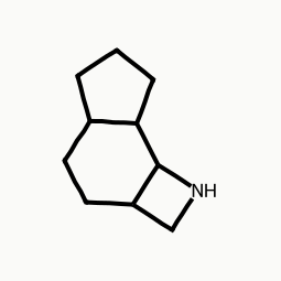 C1CC2CCC3CNC3C2C1